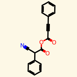 N#CC(C(=O)OC(=O)C#Cc1ccccc1)c1ccccc1